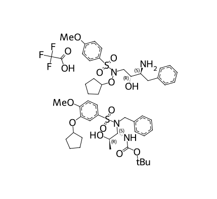 COc1ccc(S(=O)(=O)N(C[C@@H](O)[C@@H](N)Cc2ccccc2)OC2CCCC2)cc1.COc1ccc(S(=O)(=O)N(Cc2ccccc2)[C@H](NC(=O)OC(C)(C)C)[C@@H](C)O)cc1OC1CCCC1.O=C(O)C(F)(F)F